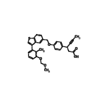 CC#CC(CC(=O)O)c1ccc(OCc2ccc3scc(-c4cccc(OCOC)c4C)c3c2)cc1